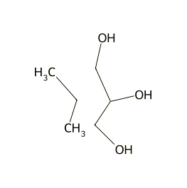 CCC.OCC(O)CO